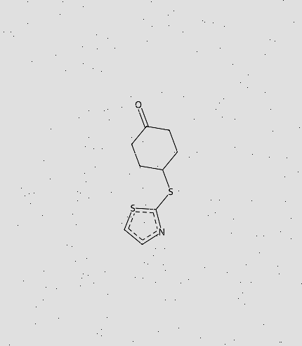 O=C1CCC(Sc2nccs2)CC1